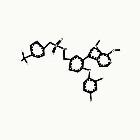 COc1nccc2c(-c3cc(CNS(=O)(=O)Cc4ccc(C(F)(F)F)cc4)ccc3Oc3ccc(F)cc3F)cn(C)c12